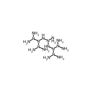 NN(NN(N(N)N)N(N)N)NN(N(N)N)N(N)N